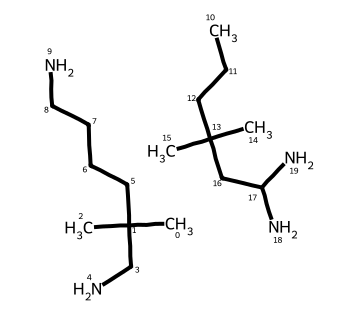 CC(C)(CN)CCCCN.CCCC(C)(C)CC(N)N